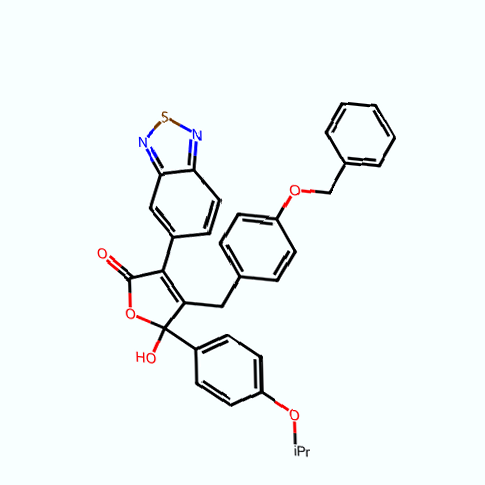 CC(C)Oc1ccc(C2(O)OC(=O)C(c3ccc4nsnc4c3)=C2Cc2ccc(OCc3ccccc3)cc2)cc1